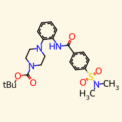 CN(C)S(=O)(=O)c1ccc(C(=O)Nc2ccccc2N2CCN(C(=O)OC(C)(C)C)CC2)cc1